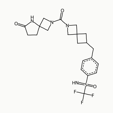 N=S(=O)(c1ccc(CC2CC3(C2)CN(C(=O)N2CC4(CCC(=O)N4)C2)C3)cc1)C(F)(F)F